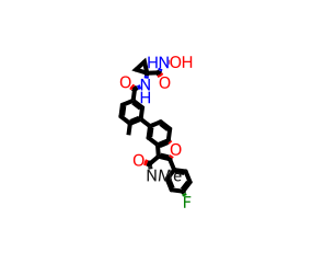 CNC(=O)c1c(-c2ccc(F)cc2)oc2ccc(-c3cc(C(=O)NC4(C(=O)NO)CC4)ccc3C)cc12